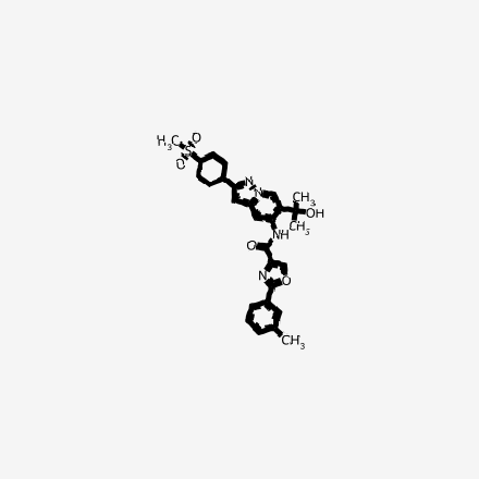 Cc1cccc(-c2nc(C(=O)Nc3cc4cc(C5CCC(S(C)(=O)=O)CC5)nn4cc3C(C)(C)O)co2)c1